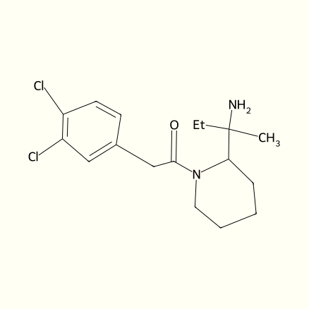 CCC(C)(N)C1CCCCN1C(=O)Cc1ccc(Cl)c(Cl)c1